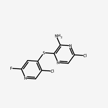 Nc1nc(Cl)cnc1Sc1cc(F)ncc1Cl